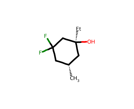 CC[C@]1(O)C[C@H](C)CC(F)(F)C1